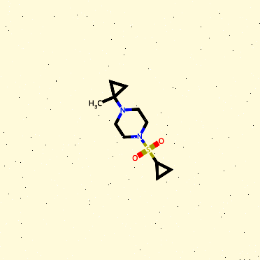 CC1(N2CCN(S(=O)(=O)C3CC3)CC2)CC1